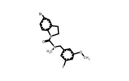 COc1cc(F)cc(CN(C)C(=O)N2CCc3cc(Br)ccc32)c1